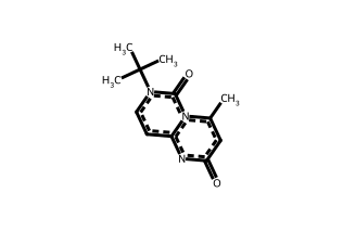 Cc1cc(=O)nc2ccn(C(C)(C)C)c(=O)n12